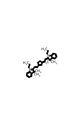 CCCN1/C(=C/C=C2C=C(/C=C/C3=[N+](CCC)c4ccccc4C3(C)C)CC/2)C(C)(C)c2ccccc21